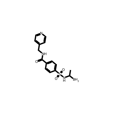 BC(C)NS(=O)(=O)c1ccc(C(=O)NCc2ccncc2)cc1